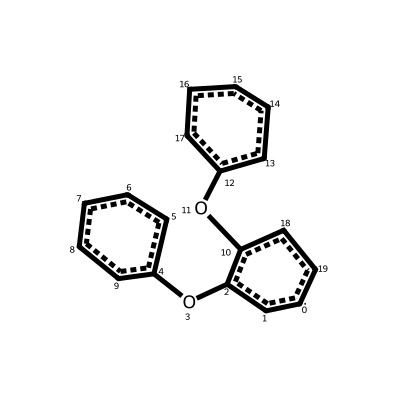 [c]1[c]c(Oc2ccccc2)c(Oc2ccccc2)cc1